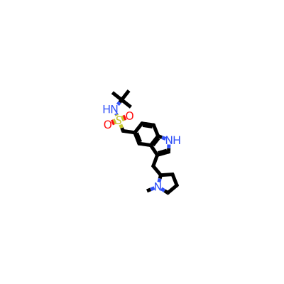 CN1CCCC1Cc1c[nH]c2ccc(CS(=O)(=O)NC(C)(C)C)cc12